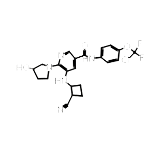 N#CC1CCC1Nc1cc(C(=O)Nc2ccc(OC(F)(F)Cl)cc2)cnc1N1CC[C@@H](O)C1